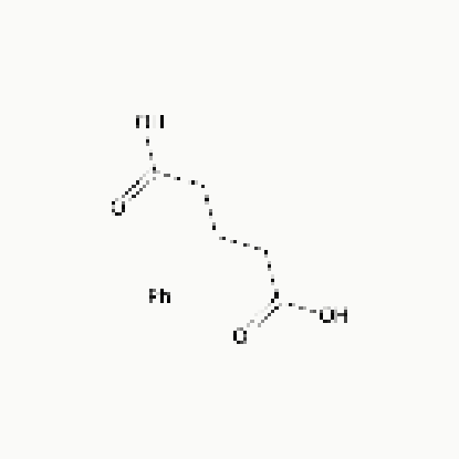 O=C(O)CCCC(=O)O.[Rb]